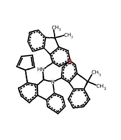 CC1(C)c2ccccc2-c2c(NC3c4c(cccc4C4C=CC=C4)-c4ccccc4N3c3cccc4c3-c3ccccc3C4(C)C)cccc21